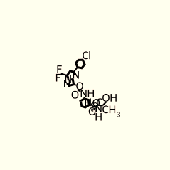 CC(C)(CO)NS(=O)(=O)c1cccc(NC(=O)Oc2cnn3c(C(F)F)cc(-c4ccc(Cl)cc4)nc23)c1